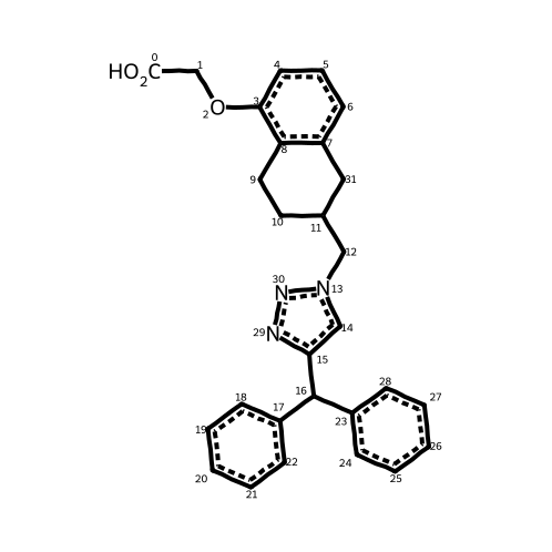 O=C(O)COc1cccc2c1CCC(Cn1cc(C(c3ccccc3)c3ccccc3)nn1)C2